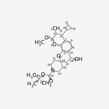 COC(=O)C(C)C(c1ccc2c(c1)OC1(CCN(C(=O)OC(C)(C)C)CC1)CC2O)C1CC1